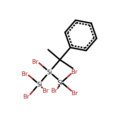 CC(C)(c1ccccc1)[Si](Br)([Si](Br)(Br)Br)[Si](Br)(Br)Br